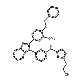 COc1cc(-c2nc3ccccn3c2-c2ccnc(Nc3cnn(CCO)c3)n2)ccc1OCc1ccccc1